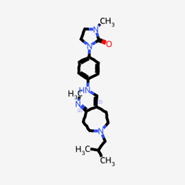 C/N=C1/CCN(CC(C)C)CC/C1=C/Nc1ccc(N2CCN(C)C2=O)cc1